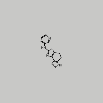 c1cncc(Nc2nc3c(s2)CCc2[nH]ncc2-3)c1